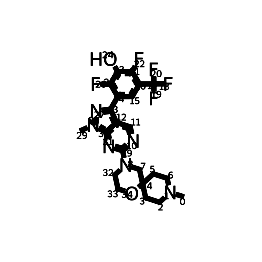 CN1CCC2(CC1)CN(c1ncc3c(-c4cc(C(F)(F)F)c(F)c(O)c4F)nn(C)c3n1)CCO2